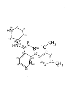 COc1cc(C)ccc1-c1nnc(N[C@@H]2CCCNC2)c2cccnc12